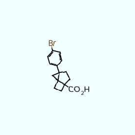 O=C(O)C12CCC3(c4ccc(Br)cc4)CC13CC2